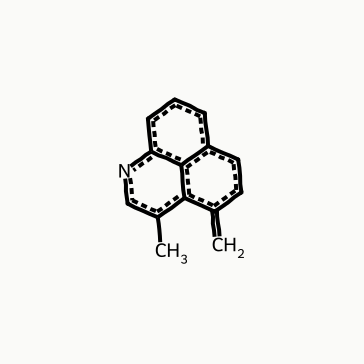 C=c1ccc2cccc3ncc(C)c1c23